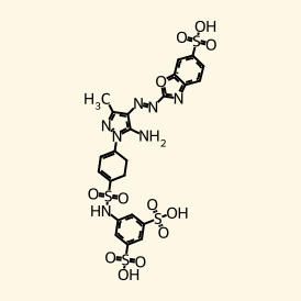 Cc1nn(C2=CC=C(S(=O)(=O)Nc3cc(S(=O)(=O)O)cc(S(=O)(=O)O)c3)CC2)c(N)c1N=Nc1nc2ccc(S(=O)(=O)O)cc2o1